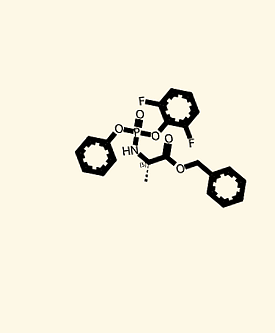 C[C@H](NP(=O)(Oc1ccccc1)Oc1c(F)cccc1F)C(=O)OCc1ccccc1